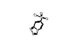 O=S(=O)(Cl)c1ccn2cnnc2c1